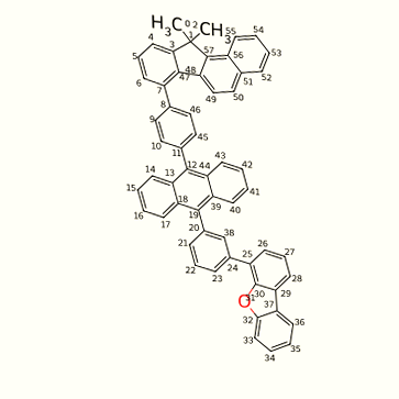 CC1(C)c2cccc(-c3ccc(-c4c5ccccc5c(-c5cccc(-c6cccc7c6oc6ccccc67)c5)c5ccccc45)cc3)c2-c2ccc3ccccc3c21